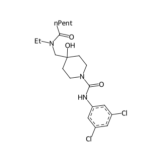 CCCCCC(=O)N(CC)CC1(O)CCN(C(=O)Nc2cc(Cl)cc(Cl)c2)CC1